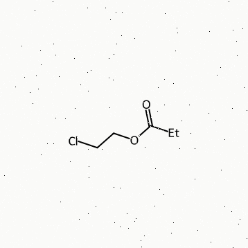 [CH2]CC(=O)OCCCl